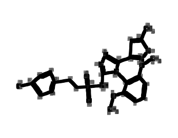 COc1cccc(OC)c1-n1c(NS(=O)(=O)CCc2ccc(Cl)cc2)nnc1-c1cc(C)on1